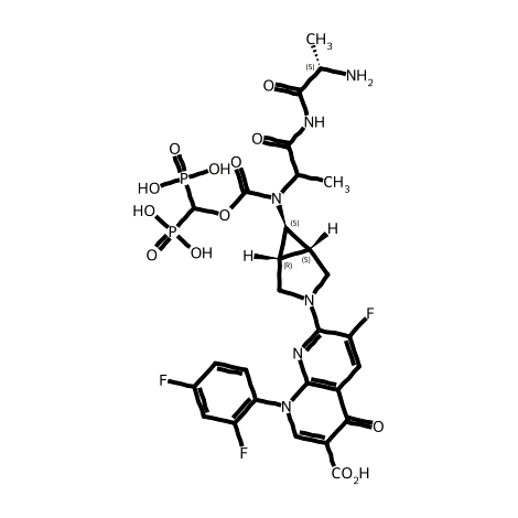 CC(C(=O)NC(=O)[C@H](C)N)N(C(=O)OC(P(=O)(O)O)P(=O)(O)O)[C@H]1[C@@H]2CN(c3nc4c(cc3F)c(=O)c(C(=O)O)cn4-c3ccc(F)cc3F)C[C@@H]21